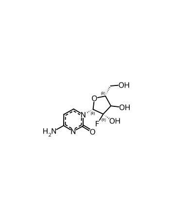 Nc1ccn([C@@H]2O[C@H](CO)C(O)[C@@]2(O)F)c(=O)n1